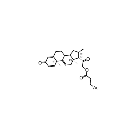 CC(=O)CCC(=O)OCC(=O)[C@H]1[C@H](C)CC2C3CCC4=CC(=O)C=C[C@]4(C)C3=CC[C@@]21C